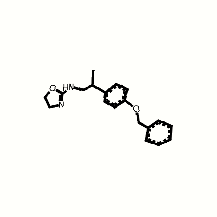 CC(CNC1=NCCO1)c1ccc(OCc2ccccc2)cc1